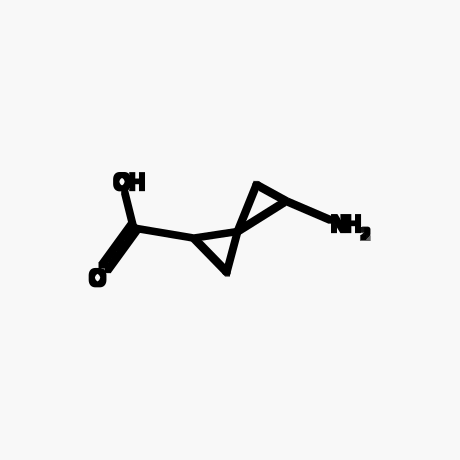 NC1CC12CC2C(=O)O